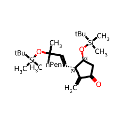 C=C1C(=O)C[C@H](O[Si](C)(C)C(C)(C)C)[C@H]1C=CC(C)(CCCCC)O[Si](C)(C)C(C)(C)C